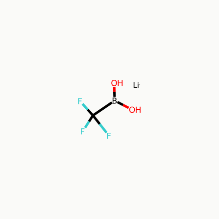 OB(O)C(F)(F)F.[Li]